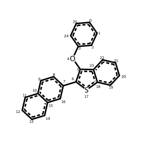 c1ccc(Oc2c(-c3ccc4ccccc4c3)sc3ccccc23)cc1